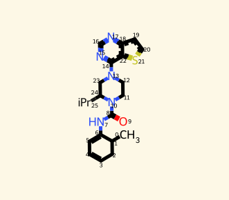 CC1CC=CC=C1NC(=O)N1CCN(c2ncnc3ccsc23)CC1C(C)C